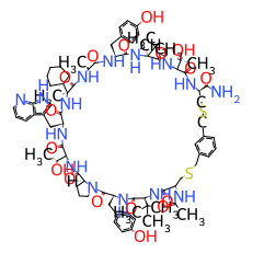 CC(=O)N[C@H]1CSCc2cccc(c2)CSC[C@H](C(N)=O)NC(=O)[C@H]([C@@H](C)O)NC(=O)[C@](C)(C(C)C)NC(=O)[C@H](Cc2ccc(O)cc2)NC(=O)[C@H](C)NC(=O)[C@](C)(C2CCCCC2)NC(=O)[C@H](Cc2c[nH]c3ncccc23)NC(=O)[C@H]([C@@H](C)O)NC(=O)[C@@H]2CCCN2C(=O)[C@H](Cc2ccc(O)cc2)NC(=O)[C@H](C(C)(C)C)NC1=O